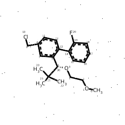 COCCO[C@@H](c1cc(CCl)ccc1-c1ccccc1F)C(C)(C)C